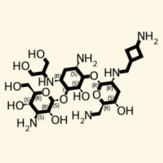 NC[C@H]1O[C@H](OC2[C@@H](N)C[C@@H](NC(CO)CO)[C@H](O[C@H]3O[C@H](CO)[C@@H](O)[C@H](N)[C@H]3O)[C@H]2O)[C@H](NCC2CC(N)C2)C[C@@H]1O